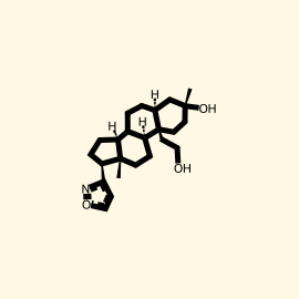 C[C@@]1(O)CC[C@@]2(CCO)[C@@H](CCC3[C@@H]4CC[C@H](c5ccon5)[C@@]4(C)CC[C@@H]32)C1